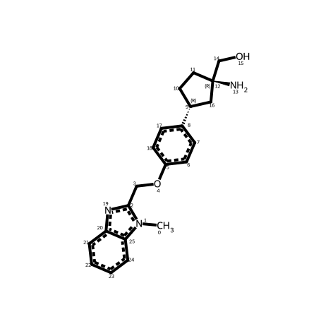 Cn1c(COc2ccc([C@@H]3CC[C@](N)(CO)C3)cc2)nc2ccccc21